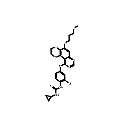 COCCCOc1cc2ncnc(Oc3ccc(NC(=O)NC4CC4)c(Cl)c3)c2c2c1OCCO2